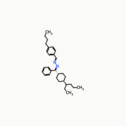 CCCCc1ccc(C=NN=C(c2ccccc2)[C@H]2CC[C@H](C(CC)CCC)CC2)cc1